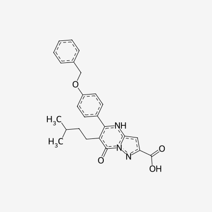 CC(C)CCc1c(-c2ccc(OCc3ccccc3)cc2)[nH]c2cc(C(=O)O)nn2c1=O